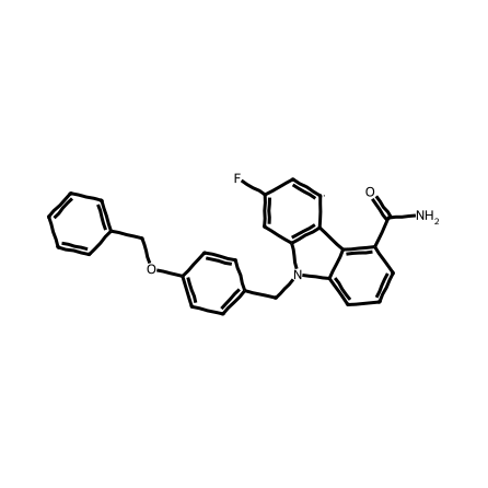 NC(=O)c1cccc2c1c1[c]cc(F)cc1n2Cc1ccc(OCc2ccccc2)cc1